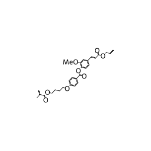 C=CCOC(=O)/C=C/c1ccc(OC(=O)c2ccc(OCCCCOC(=O)C(=C)C)cc2)c(OC)c1